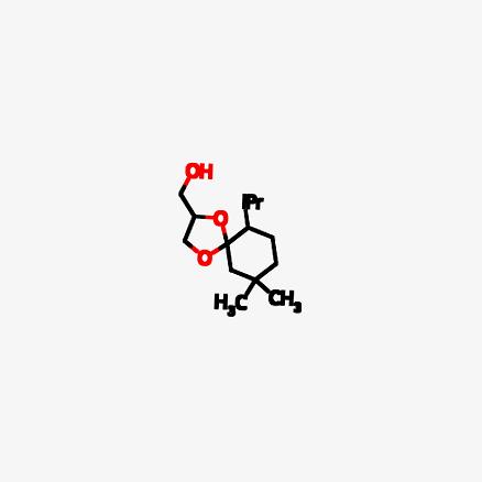 CC(C)C1CCC(C)(C)CC12OCC(CO)O2